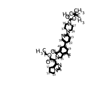 CCOC(=O)[C@@H](c1ncn2c1CCC2)N1Cc2c(F)cc(-c3ccc(N4CCN(C(=O)OC(C)(C)C)CC4)nc3)cc2C1=O